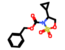 O=C(OCc1ccccc1)N1C(C2CC2)COS1(=O)=O